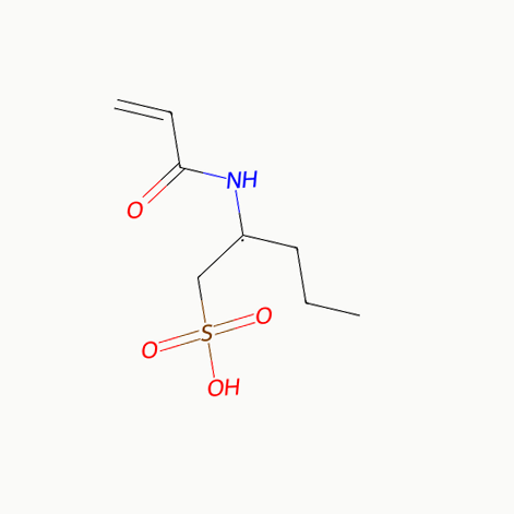 C=CC(=O)N[C](CCC)CS(=O)(=O)O